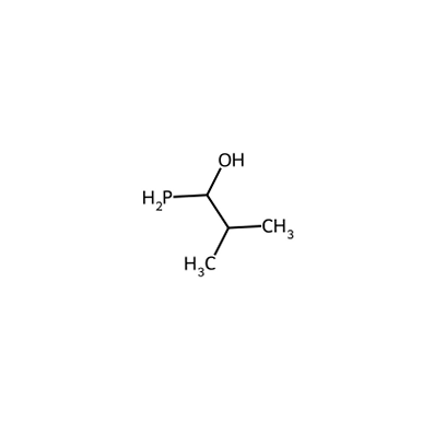 CC(C)C(O)P